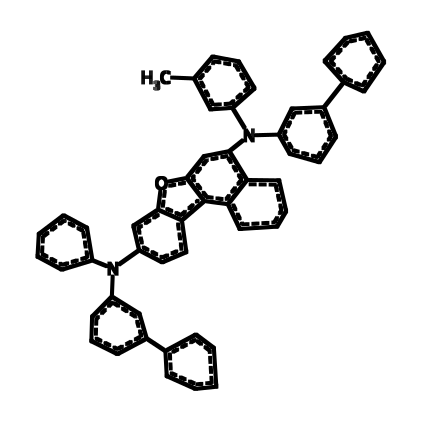 Cc1cccc(N(c2cccc(-c3ccccc3)c2)c2cc3oc4cc(N(c5ccccc5)c5cccc(-c6ccccc6)c5)ccc4c3c3ccccc23)c1